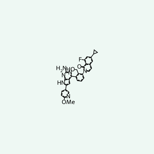 COc1ccc(-c2cc3c(-c4cccc(-n5ccc6cc(C7CC7)cc(F)c6c5=O)c4CO)nc(N)nc3[nH]2)cn1